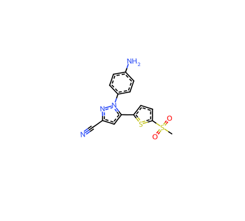 CS(=O)(=O)c1ccc(-c2cc(C#N)nn2-c2ccc(N)cc2)s1